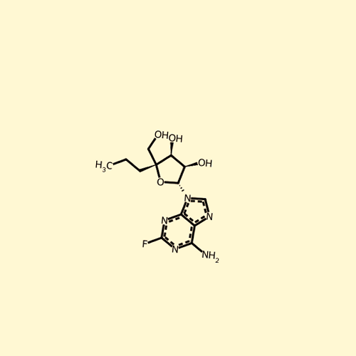 CCC[C@]1(CO)O[C@@H](n2cnc3c(N)nc(F)nc32)[C@H](O)[C@@H]1O